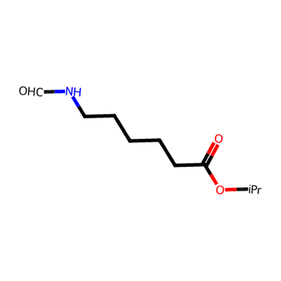 CC(C)OC(=O)CCCCCNC=O